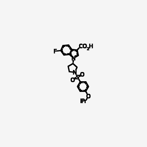 CC(C)Oc1ccc(S(=O)(=O)N2CC[C@@H](n3cc(C(=O)O)c4ccc(F)cc43)C2)cc1